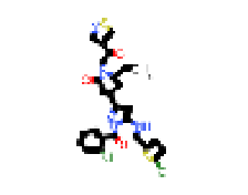 C=Cc1cc(-c2cc(NCc3ccc(Cl)s3)n(C(=O)c3ccccc3Cl)n2)cc(=O)n1CC(=O)c1cnsc1